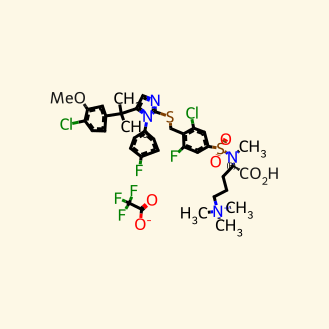 COc1cc(C(C)(C)c2cnc(SCc3c(F)cc(S(=O)(=O)N(C)[C@H](CCC[N+](C)(C)C)C(=O)O)cc3Cl)n2-c2ccc(F)cc2)ccc1Cl.O=C([O-])C(F)(F)F